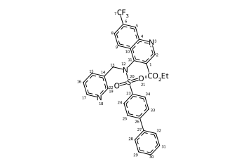 CCOC(=O)c1cnc2cc(C(F)(F)F)ccc2c1N(Cc1cccnc1)S(=O)(=O)c1ccc(-c2ccccc2)cc1